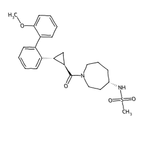 COc1ccccc1-c1ccccc1[C@@H]1C[C@H]1C(=O)N1CCC[C@H](NS(C)(=O)=O)CC1